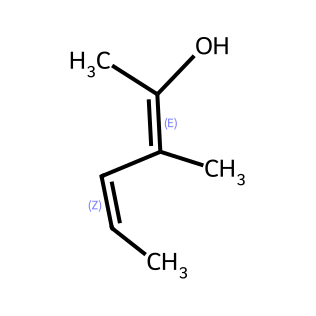 C/C=C\C(C)=C(/C)O